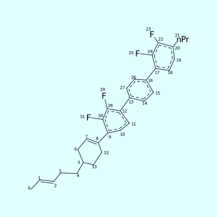 C/C=C/CCC1CC=C(c2ccc(-c3ccc(-c4ccc(CCC)c(F)c4F)cc3)c(F)c2F)CC1